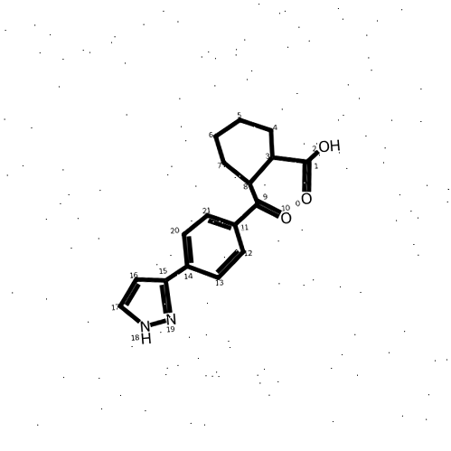 O=C(O)C1CCCCC1C(=O)c1ccc(-c2cc[nH]n2)cc1